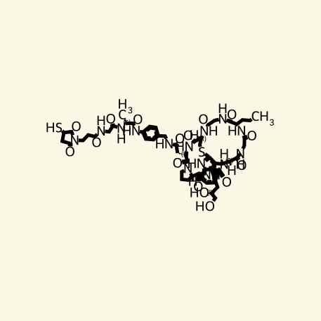 CCCC1NC(=O)CNC(=O)[C@H]2Cc3c([nH]c4ccccc34)SC[C@H](NC(=O)CNC1=O)C(=O)N[C@@H](CC(=O)NCc1ccc(NC(=O)[C@H](C)NC(=O)CNC(=O)CCN3C(=O)CC(S)C3=O)cc1)C(=O)N1CCC[C@H]1C(=O)NC(C[C@@H](O)CO)C(=O)N2